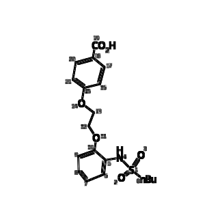 CCCCS(=O)(=O)Nc1ccccc1OCCOc1ccc(C(=O)O)cc1